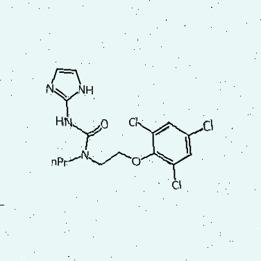 CCCN(CCOc1c(Cl)cc(Cl)cc1Cl)C(=O)Nc1ncc[nH]1